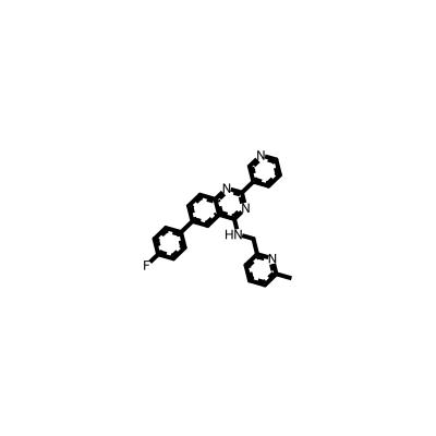 Cc1cccc(CNc2nc(-c3cccnc3)nc3ccc(-c4ccc(F)cc4)cc23)n1